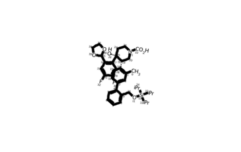 Cc1cc(-c2ccccc2CO[Si](C(C)C)(C(C)C)C(C)C)ccc1[C@H]1CN(C(=O)O)CC[C@]1(O)c1cc(F)c(F)cc1C1OCCO1